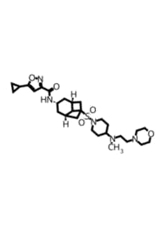 CN(CCN1CCOCC1)C1CCN(S(=O)(=O)C23C[C@H]4C[C@@H](NC(=O)c5cc(C6CC6)on5)C[C@@H](C2)C43)CC1